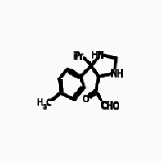 Cc1ccc(C2(C(C)C)NCNC2C(=O)C=O)cc1